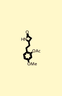 COc1ccc(CCC2CC(=O)N2)c(OC(C)=O)c1